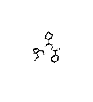 O=C(OOC(=O)c1ccccc1)c1ccccc1.O=Cc1ccsc1C=O